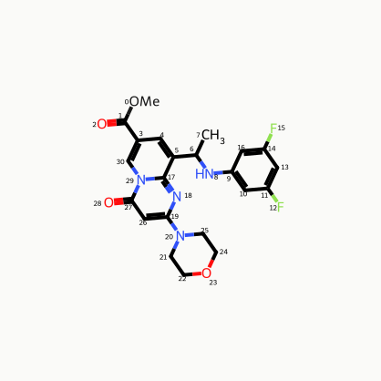 COC(=O)c1cc(C(C)Nc2cc(F)cc(F)c2)c2nc(N3CCOCC3)cc(=O)n2c1